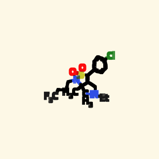 CCNCC1=C(c2ccc(Cl)cc2)S(=O)(=O)N(CCCC(F)(F)F)C1(C)C